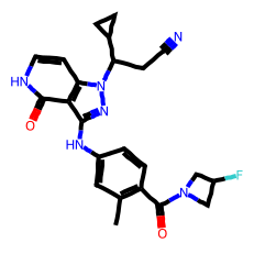 Cc1cc(Nc2nn(C(CC#N)C3CC3)c3cc[nH]c(=O)c23)ccc1C(=O)N1CC(F)C1